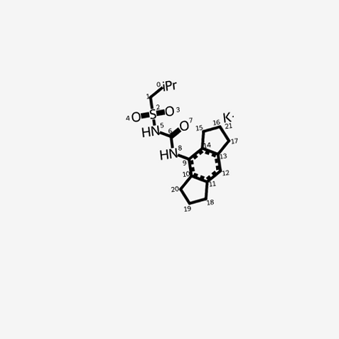 CC(C)CS(=O)(=O)NC(=O)Nc1c2c(cc3c1CCC3)CCC2.[K]